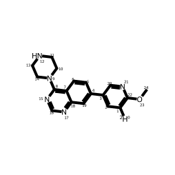 [2H]c1cc(-c2ccc3c(N4CCNCC4)ncnc3c2)cnc1OC